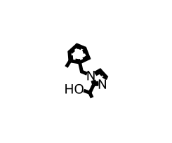 Cc1ccccc1Cn1ccnc1C(C)O